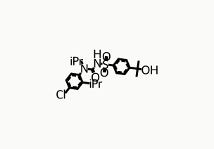 CC(C)c1cc(Cl)ccc1N(C(=O)NS(=O)(=O)c1ccc(C(C)(C)O)cc1)C(C)C